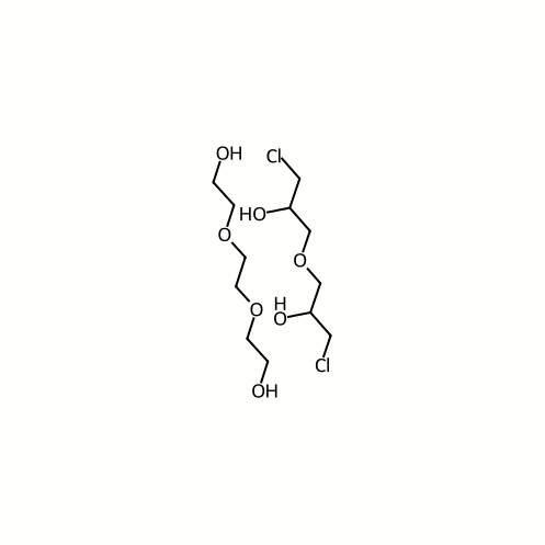 OC(CCl)COCC(O)CCl.OCCOCCOCCO